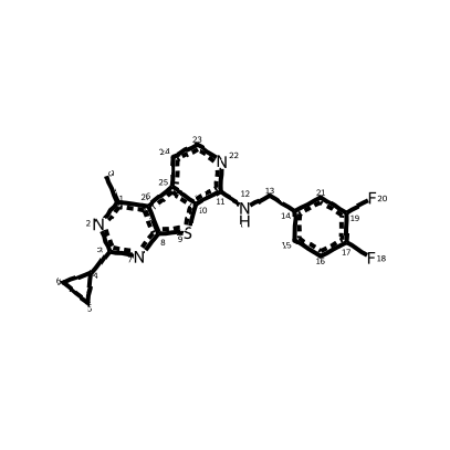 Cc1nc(C2CC2)nc2sc3c(NCc4ccc(F)c(F)c4)nccc3c12